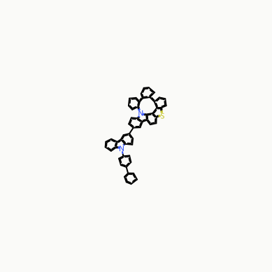 c1ccc(-c2ccc(-n3c4ccccc4c4cc(-c5ccc6c(c5)c5ccc7sc8cccc9c%10ccccc%10c%10ccccc%10n6c5c7c89)ccc43)cc2)cc1